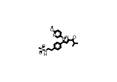 COc1ccc(-n2nc(C(=O)C(C)C)cc2-c2ccc(CCNS(C)(=O)=O)cc2)cn1